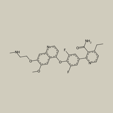 CCc1ccnc(-c2cc(F)c(Oc3ccnc4cc(OCCNC)c(OC)cc34)c(F)c2)c1C(N)=O